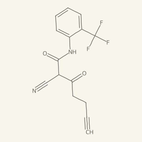 C#CCCC(=O)C(C#N)C(=O)Nc1ccccc1C(F)(F)F